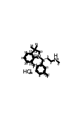 CNCC[C@H](c1cccc(F)c1)N1CC(C)(C)c2cccc(F)c21.Cl